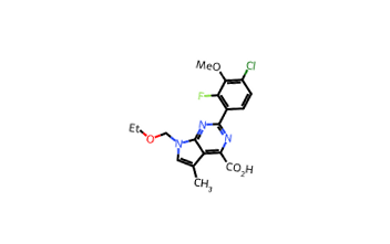 CCOCn1cc(C)c2c(C(=O)O)nc(-c3ccc(Cl)c(OC)c3F)nc21